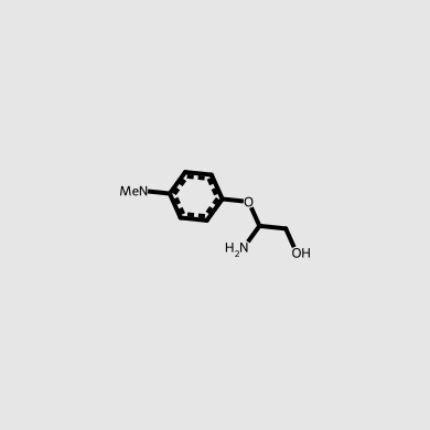 CNc1ccc(OC(N)CO)cc1